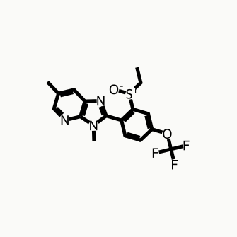 CC[S+]([O-])c1cc(OC(F)(F)F)ccc1-c1nc2cc(C)cnc2n1C